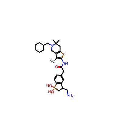 CC1(C)Cc2sc(NC(=O)Cc3ccc4c(c3)C(CN)CS4(O)O)c(C#N)c2CN1CC1CCCCC1